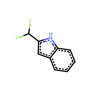 F[C](F)c1cc2ccccc2[nH]1